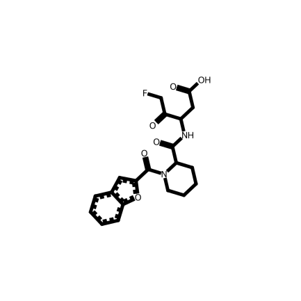 O=C(O)CC(NC(=O)C1CCCCN1C(=O)c1cc2ccccc2o1)C(=O)CF